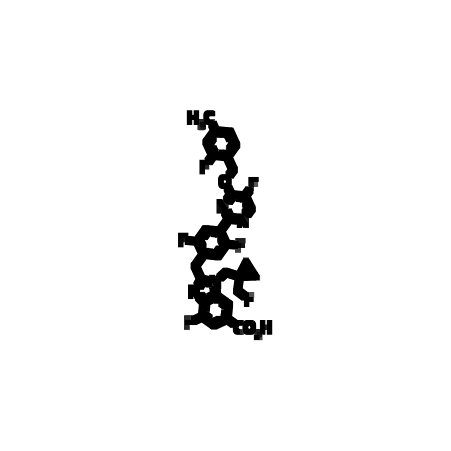 Cc1ccc(COc2nc(-c3cc(F)c(Cc4nc5c(F)cc(C(=O)O)cc5n4CC4(CF)CC4)cc3F)ncc2F)c(F)c1